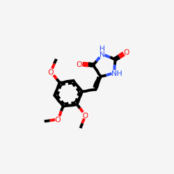 COc1cc(C=C2NC(=O)NC2=O)c(OC)c(OC)c1